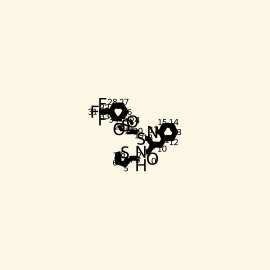 O=C(NCc1cccs1)c1cc2ccccc2nc1SCCS(=O)(=O)c1cccc(C(F)(F)F)c1